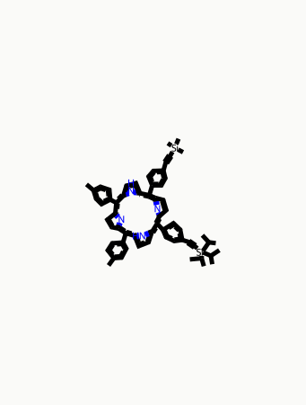 Cc1ccc(-c2c3nc(c(-c4ccc(C)cc4)c4ccc([nH]4)c(-c4ccc(C#C[Si](C(C)C)(C(C)C)C(C)C)cc4)c4nc(c(-c5ccc(C#C[Si](C)(C)C)cc5)c5ccc2[nH]5)C=C4)C=C3)cc1